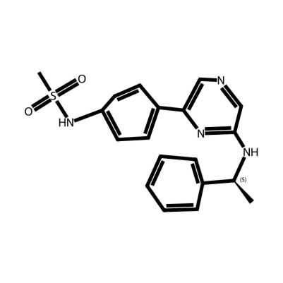 C[C@H](Nc1cncc(-c2ccc(NS(C)(=O)=O)cc2)n1)c1ccccc1